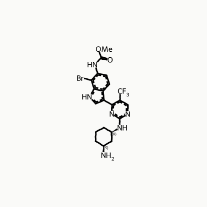 COC(=O)Nc1ccc2c(-c3nc(N[C@@H]4CCC[C@H](N)C4)ncc3C(F)(F)F)c[nH]c2c1Br